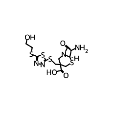 NC1C(=O)N2CC(CSc3nnc(SCCO)s3)(C(=O)O)CS[C@H]12